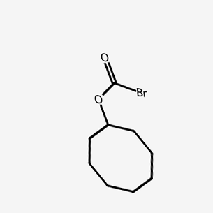 O=C(Br)OC1CCCCCCC1